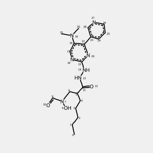 CCCCCC(CN(O)C=O)C(=O)NNc1ncc(N(C)C)c(-c2cccnc2)n1